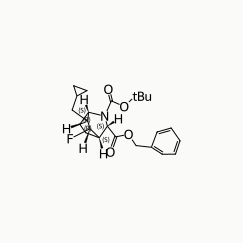 CC(C)(C)OC(=O)N1[C@H](C(=O)OCc2ccccc2)[C@@H]2CC[C@H]1[C@@H](CC1CC1)[C@H]2F